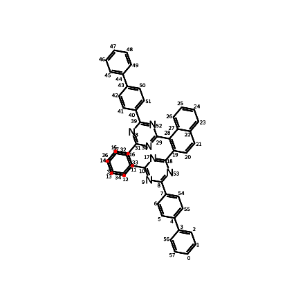 c1ccc(-c2ccc(-c3nc(-c4ccccc4)nc(-c4ccc5ccccc5c4-c4nc(-c5ccccc5)nc(-c5ccc(-c6ccccc6)cc5)n4)n3)cc2)cc1